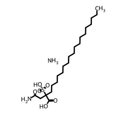 CCCCCCCCCCCCCCCCCCC(CC(N)=O)(C(=O)O)S(=O)(=O)O.N